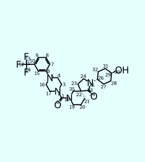 O=C(N1CCN(c2cccc(C(F)(F)F)c2)CC1)N1CCC[C@@]2(CCN([C@H]3CC[C@H](O)CC3)C2=O)C1